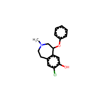 CN1CCc2cc(Cl)c(O)cc2C(Oc2ccccc2)C1